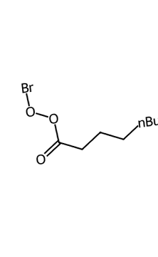 CCCCCCCC(=O)OOBr